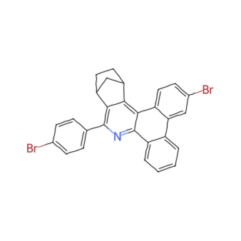 Brc1ccc(-c2nc3c4ccccc4c4cc(Br)ccc4c3c3c2C2CCC3C2)cc1